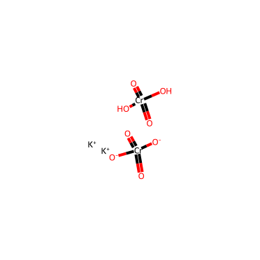 [K+].[K+].[O]=[Cr](=[O])([O-])[O-].[O]=[Cr](=[O])([OH])[OH]